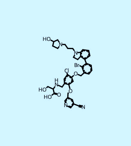 N#Cc1cncc(COc2cc(OCc3cccc(-c4cccc5c4CCN5CCCN4CCC(O)C4)c3Br)c(Cl)cc2CNC(CO)C(=O)O)c1